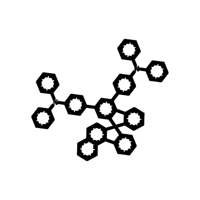 c1ccc(N(c2ccccc2)c2ccc(-c3cc(-c4ccc(N(c5ccccc5)c5ccccc5)cc4)c4c(c3)C3(c5ccccc5-4)c4ccccc4-c4c3ccc3ccccc43)cc2)cc1